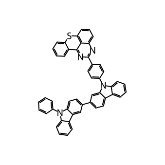 c1ccc(-n2c3ccccc3c3cc(-c4ccc5c6ccccc6n(-c6ccc(-c7nc8c9c(cccc9n7)Sc7ccccc7-8)cc6)c5c4)ccc32)cc1